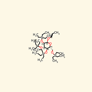 CC=CO[C@H]1O[C@H](CO[Si](CC)(CC)CC)[C@@H](O[Si](CC)(CC)CC)[C@H](O[Si](CC)(CC)CC)[C@H]1O[Si](CC)(CC)CC